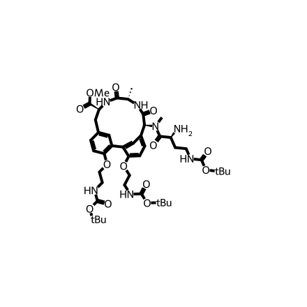 COC(=O)[C@@H]1Cc2ccc(OCCNC(=O)OC(C)(C)C)c(c2)-c2cc(ccc2OCCNC(=O)OC(C)(C)C)[C@H](N(C)C(=O)[C@@H](N)CCNC(=O)OC(C)(C)C)C(=O)N[C@@H](C)C(=O)N1